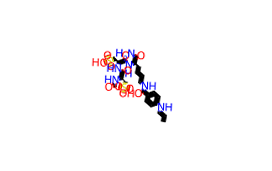 CCCNc1ccc(C(=O)NCCCC[C@@H](NC(=O)[C@H](CS(=O)(=O)O)NC(=O)[C@H](CS(=O)(=O)O)NC=O)C(N)=O)cc1